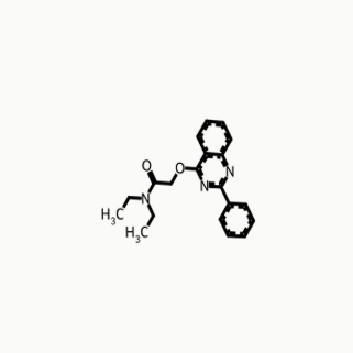 CCN(CC)C(=O)COc1nc(-c2ccccc2)nc2ccccc12